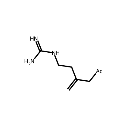 C=C(CCNC(=N)N)CC(C)=O